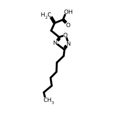 C=C(Cc1nc(CCCCCCC)no1)C(=O)O